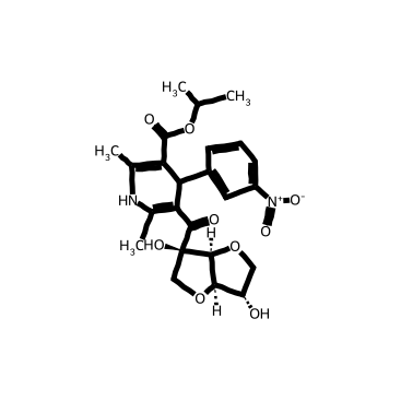 CC1=C(C(=O)OC(C)C)C(c2cccc([N+](=O)[O-])c2)C(C(=O)[C@@]2(O)CO[C@@H]3[C@@H](O)CO[C@@H]32)=C(C)N1